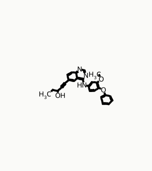 CCC(O)C#Cc1ccc2ncnc(Nc3ccc(Oc4ccccc4)c(OC)c3)c2c1